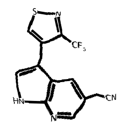 N#Cc1cnc2[nH]cc(-c3csnc3C(F)(F)F)c2c1